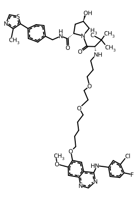 COc1cc2ncnc(Nc3ccc(F)c(Cl)c3)c2cc1OCCCCCOCCOCCCN[C@H](C(=O)N1C[C@H](O)C[C@H]1C(=O)NCc1ccc(-c2scnc2C)cc1)C(C)(C)C